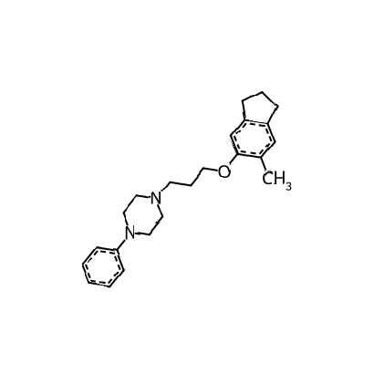 Cc1cc2c(cc1OCCCN1CCN(c3ccccc3)CC1)CCC2